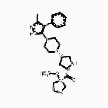 Cc1n[nH]c(N2CCN([C@@H]3CN[C@H](C(=O)[N+]4(OS(=O)(=O)O)CCSC4)C3)CC2)c1-c1ccccc1